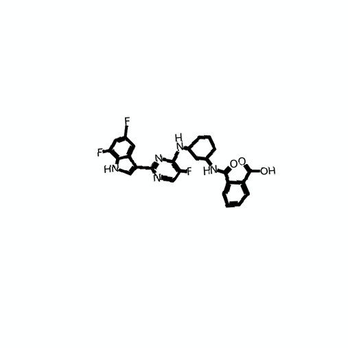 O=C(O)c1ccccc1C(=O)NC1CCCC(Nc2nc(-c3c[nH]c4c(F)cc(F)cc34)ncc2F)C1